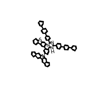 c1ccc(-c2ccc(-c3ccc(C4=NC(c5ccc(-n6c7cc8ccccc8cc7c7cc8ccccc8cc76)cc5-c5ccc6sc7ccccc7c6c5)NC(c5ccc(-c6ccc(-c7ccccc7)cc6)cc5)=N4)cc3)cc2)cc1